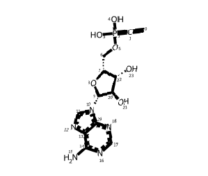 C=C=P(O)(O)OC[C@H]1O[C@@H](n2cnc3c(N)ncnc32)C(O)[C@H]1O